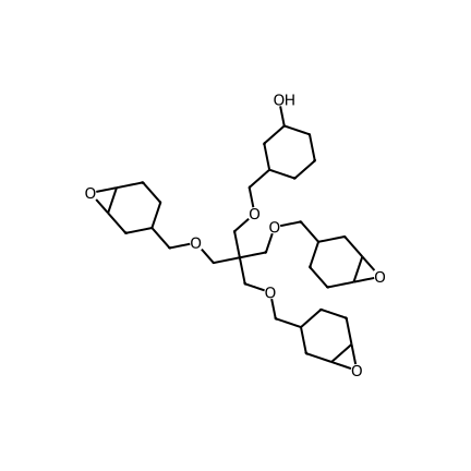 OC1CCCC(COCC(COCC2CCC3OC3C2)(COCC2CCC3OC3C2)COCC2CCC3OC3C2)C1